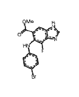 COC(=O)c1cc2[nH]cnc2c(F)c1Nc1ccc(Br)cc1